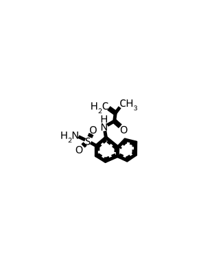 C=C(C)C(=O)Nc1c(S(N)(=O)=O)ccc2ccccc12